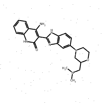 CN(C)CC1CN(c2ccc3[nH]c(-c4c(N)c5ccccc5[nH]c4=O)nc3c2)CCO1